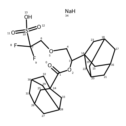 O=C(OC(COCC(F)(F)S(=O)(=O)O)C12CC3CC(CC(C3)C1)C2)C12CC3CC(CC(C3)C1)C2.[NaH]